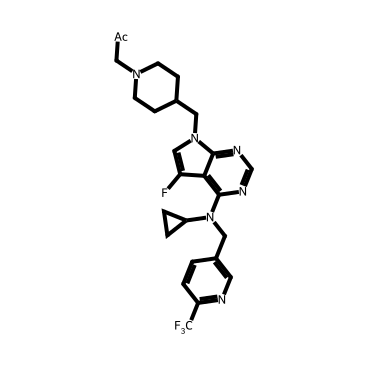 CC(=O)CN1CCC(Cn2cc(F)c3c(N(Cc4ccc(C(F)(F)F)nc4)C4CC4)ncnc32)CC1